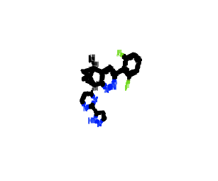 CC1(C)[C@H]2CC[C@]1(c1ccnc(-c3ccn[nH]3)n1)c1nnc(-c3c(F)cccc3F)cc12